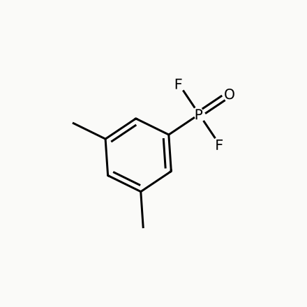 Cc1cc(C)cc(P(=O)(F)F)c1